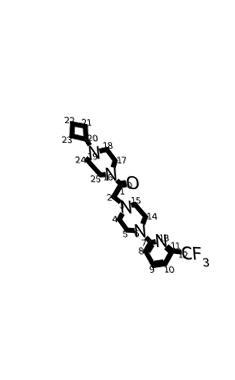 O=C(CN1CCN(c2cccc(C(F)(F)F)n2)CC1)N1CCN(C2CCC2)CC1